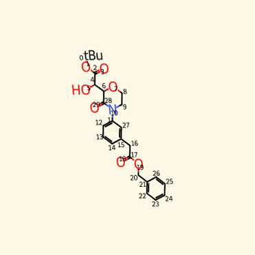 CC(C)(C)OC(=O)[C@H](O)[C@H]1OCCN(c2cccc(CC(=O)OCc3ccccc3)c2)C1=O